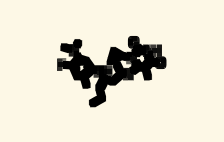 CC/C=C(\C/C(C)=N/c1c(C)c(=O)[nH]c(=O)n1C1CC1)Nc1cc(N(C)C)c(F)cc1C